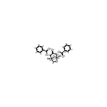 O=C(O[C@@H]1C(=O)[C@H](OC(=O)c2ccccc2)[C@@H]2OC[C@H]1O2)c1ccccc1